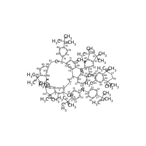 Cc1cc2c3cc1CCC1c4cc(N(c5ccc(C(C)(C)C)cc5)c5ccc(C(C)(C)C)cc5)ccc4B(c4cc5c(cc4C(C)c4cc6c(cc4C)C(C)(C)CCC6(C)C)C(C)(C)CC5(C)C)c4c(C)cc(cc41)C(c1ccc(C(C)(C)C)cc1)CCc1ccc(C(C)(C)C)c(c1)CC3(C)CCC2(C)C